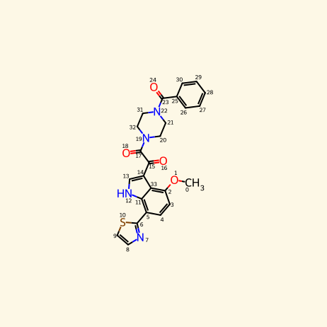 COc1ccc(-c2nccs2)c2[nH]cc(C(=O)C(=O)N3CCN(C(=O)c4ccccc4)CC3)c12